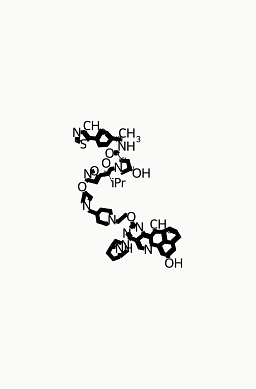 Cc1ncsc1-c1ccc([C@H](C)NC(=O)[C@@H]2C[C@@H](O)CN2C(=O)[C@@H](c2cc(OC3CN(CC4CCN(CCOc5nc(N6CC7CCC(C6)N7)c6cnc7c(c6n5)C(C)c5cccc6cc(O)cc-7c56)CC4)C3)no2)C(C)C)cc1